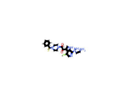 N/C=C\N(N)c1ncc(F)c2c(C(=O)C(=O)N3CCN(C(=S)c4ccccc4)CC3)c[nH]c12